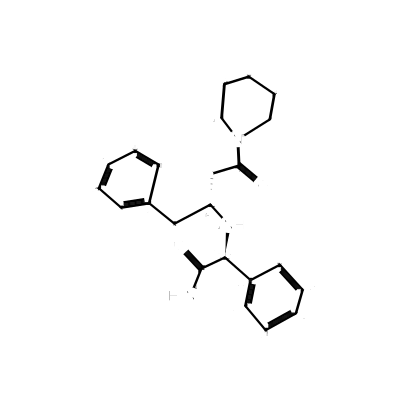 NC(=O)[C@@H](N[C@@H](CC(=O)N1CCCCC1)Cc1ccccc1)c1ccccc1